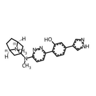 CN(c1ccc(-c2ccc(-c3cn[nH]c3)cc2O)nn1)C1C[C@H]2CC[C@@H](C1)N2C